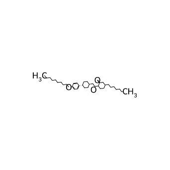 CCCCCCCCCOc1ccc([C@H]2CC[C@H](CC(=O)C3CCC(CCCCCCC)CC3=O)CC2)cc1